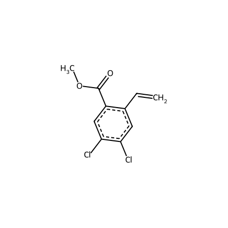 C=Cc1cc(Cl)c(Cl)cc1C(=O)OC